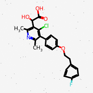 Cc1nc(C)c(C(O)C(=O)O)c(Cl)c1-c1ccc(OCCc2ccc(F)cc2)cc1